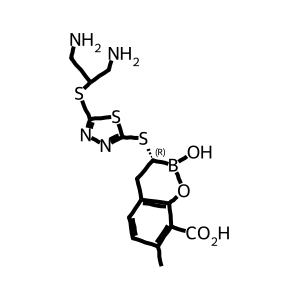 Cc1ccc2c(c1C(=O)O)OB(O)[C@@H](Sc1nnc(SC(CN)CN)s1)C2